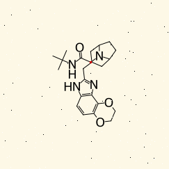 CC(C)(C)NC(=O)CN1C2CCC1CC(Cc1nc3c4c(ccc3[nH]1)OCCO4)C2